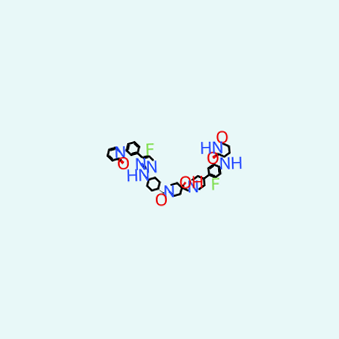 O=C1CC[C@H](Nc2ccc(C3CCN(CC4(O)CCN(C(=O)[C@H]5CC[C@H](Nc6ncc(F)c(-c7cccc(-n8ccccc8=O)c7)n6)CC5)CC4)CC3)c(F)c2)C(=O)N1